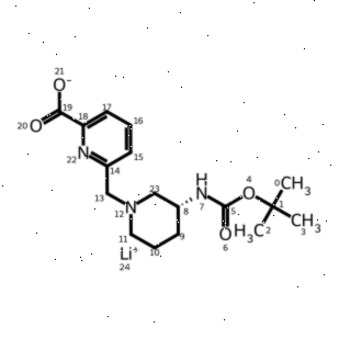 CC(C)(C)OC(=O)N[C@@H]1CCCN(Cc2cccc(C(=O)[O-])n2)C1.[Li+]